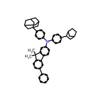 CC1(C)c2ccc(-c3ccccc3)cc2-c2ccc(N(c3ccc(C4CC5CCC4C5)cc3)c3ccc(C45CC6CC(CC(C6)C4)C5)cc3)cc21